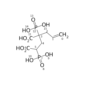 C=CCC(CC(C(=O)O)P(=O)(O)O)(C(=O)O)P(=O)(O)O